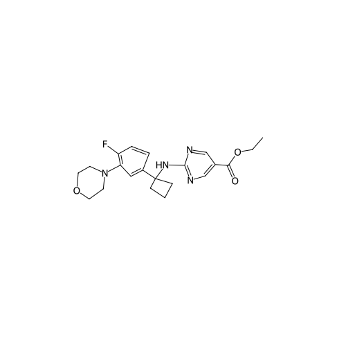 CCOC(=O)c1cnc(NC2(c3ccc(F)c(N4CCOCC4)c3)CCC2)nc1